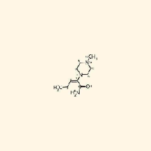 CCC=C(C(N)=O)N1CCN(C)CC1